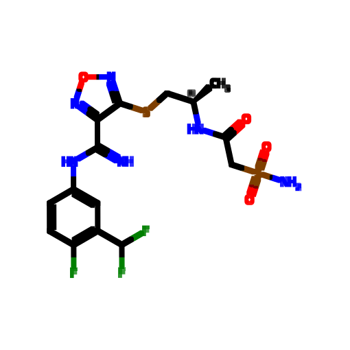 C[C@H](CSc1nonc1C(=N)Nc1ccc(F)c(C(F)F)c1)NC(=O)CS(N)(=O)=O